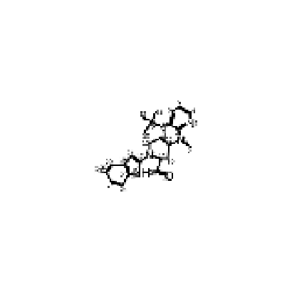 CN(c1ncccc1NC(C)(C)C)C1CCN(c2cc3cc(F)ccc3[nH]2)C(C=O)C1